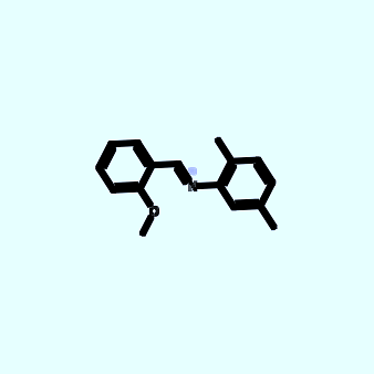 COc1ccccc1/C=N/c1cc(C)ccc1C